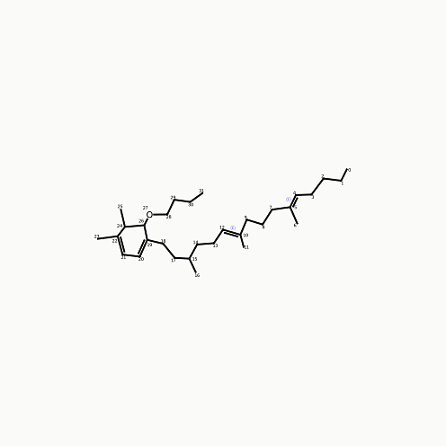 CCCC/C=C(\C)CCC/C(C)=C/CCC(C)CCC1=CC=C(C)C(C)C1OCCCC